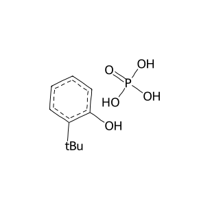 CC(C)(C)c1ccccc1O.O=P(O)(O)O